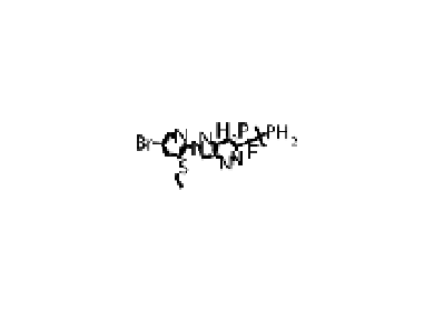 CCSc1cc(Br)cnc1-n1cc2nnc(C(F)(P)C(C)(C)P)cc2n1